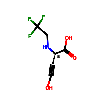 O=C(O)[C@H](C#CO)NCC(F)(F)F